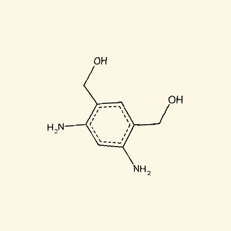 Nc1cc(N)c(CO)cc1CO